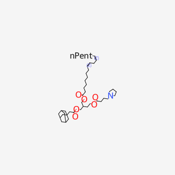 CCCCC/C=C\C/C=C\CCCCCCCC(=O)OCC(CCOC(=O)CCCN1CCCC1)COC(=O)CC12CC3CC(CC(C3)C1)C2